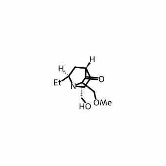 CC[C@H]1C[C@@H]2CCN1[C@](CO)(COC)C2=O